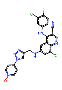 N#Cc1cnc2c(Cl)cc(NCc3cn(-c4cc[n+]([O-])cc4)nn3)cc2c1Nc1ccc(F)c(Cl)c1